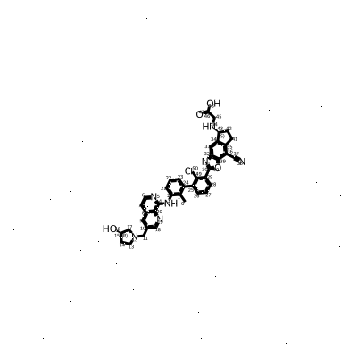 Cc1c(Nc2nccc3cc(CN4CC[C@@H](O)C4)cnc23)cccc1-c1cccc(-c2nc3cc4c(c(C#N)c3o2)CC[C@@H]4NCC(=O)O)c1Cl